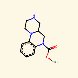 CC(C)(C)OC(=O)N1CC2CNCCN2c2ccccc21